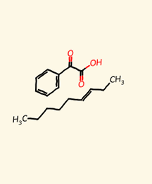 CCC=CCCCCC.O=C(O)C(=O)c1ccccc1